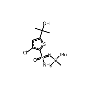 CC(C)(O)c1cc(Cl)c(S(N)(=O)=N[Si](C)(C)C(C)(C)C)s1